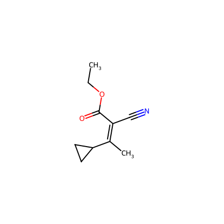 CCOC(=O)/C(C#N)=C(/C)C1CC1